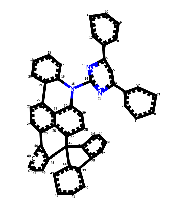 c1ccc(-c2cc(-c3ccccc3)nc(N3c4ccccc4-c4ccc5c6c(ccc3c46)C3(c4ccccc4-c4ccccc43)c3ccccc3-5)n2)cc1